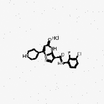 Cl.O=C(Nc1cccc(Cl)c1F)c1cnn2c(C3CCNCC3)cc(=O)[nH]c12